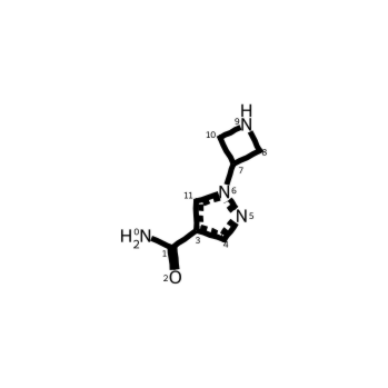 NC(=O)c1cnn(C2CNC2)c1